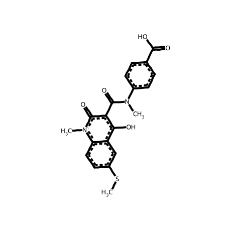 CSc1ccc2c(c1)c(O)c(C(=O)N(C)c1ccc(C(=O)O)cc1)c(=O)n2C